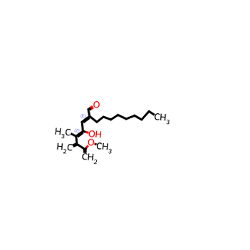 C=C(OC)C(=C)/C(C)=C(O)/C=C(/C=O)CCCCCCCCC